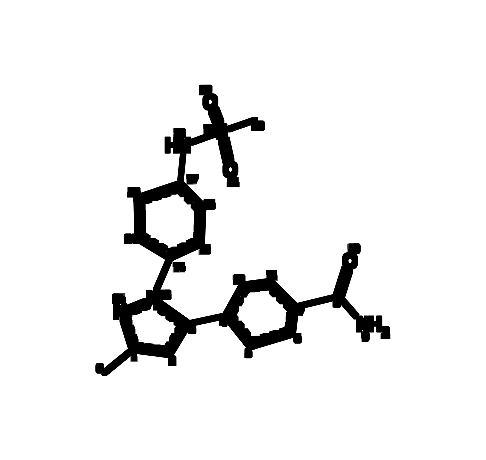 Cc1cc(-c2ccc(C(N)=O)cc2)n(-c2ccc(NS(C)(=O)=O)cc2)n1